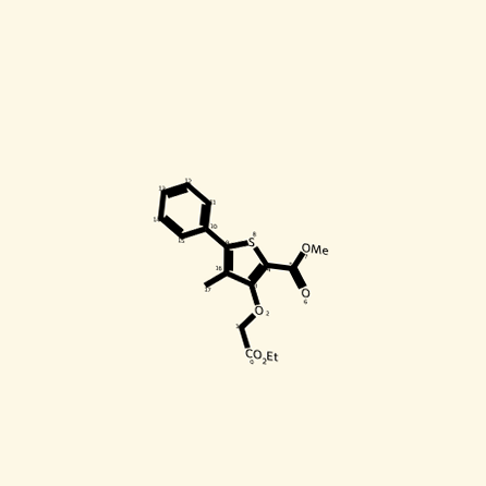 CCOC(=O)COc1c(C(=O)OC)sc(-c2ccccc2)c1C